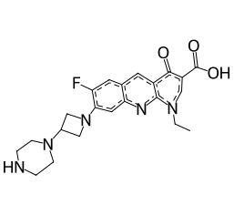 CCn1cc(C(=O)O)c(=O)c2cc3cc(F)c(N4CC(N5CCNCC5)C4)cc3nc21